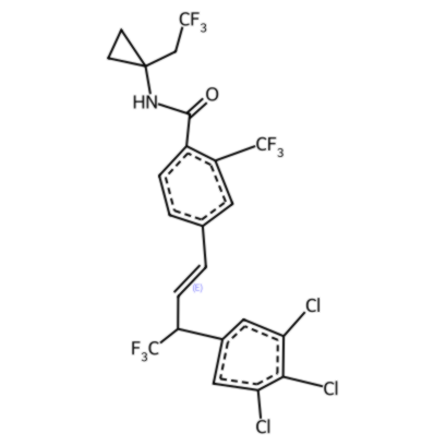 O=C(NC1(CC(F)(F)F)CC1)c1ccc(/C=C/C(c2cc(Cl)c(Cl)c(Cl)c2)C(F)(F)F)cc1C(F)(F)F